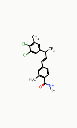 Cc1cc(/C=C/C(c2cc(C)c(Cl)c(Cl)c2)C(F)(F)F)ccc1C(=O)NC(C)C